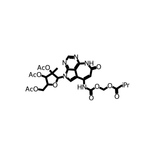 CC(=O)OCC1OC(n2cc3c4c(ncnc42)NC(=O)C=C3NC(=O)OCOC(=O)C(C)C)C(C)(OC(C)=O)C1OC(C)=O